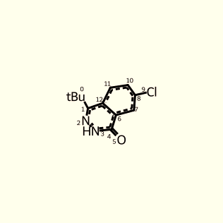 CC(C)(C)c1n[nH]c(=O)c2cc(Cl)ccc12